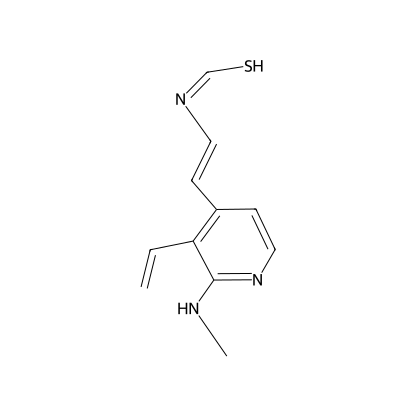 C=Cc1c(/C=C/N=C\S)ccnc1NC